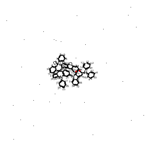 O=P1(c2ccccc2)c2ccccc2C2(c3ccccc3N(c3ccccc3)c3cc(-n4c5ccccc5c5cc(N(c6ccccc6)c6ccccc6)ccc54)ccc32)c2cc3c(cc21)oc1ccccc13